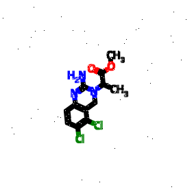 COC(=O)C(C)N1Cc2c(ccc(Cl)c2Cl)N=C1N